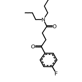 CCCN(CCC)C(=O)CCC(=O)c1ccc(F)cc1